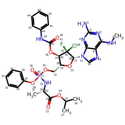 CNc1nc(N)nc2c1ncn2[C@@H]1O[C@H](CO[P@](=O)(N[C@@H](C)C(=O)OC(C)C)Oc2ccccc2)[C@@H](OC(=O)Nc2ccccc2)[C@]1(F)Cl